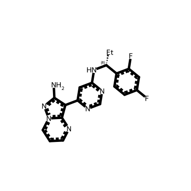 CC[C@@H](Nc1cc(-c2c(N)nn3cccnc23)ncn1)c1ccc(F)cc1F